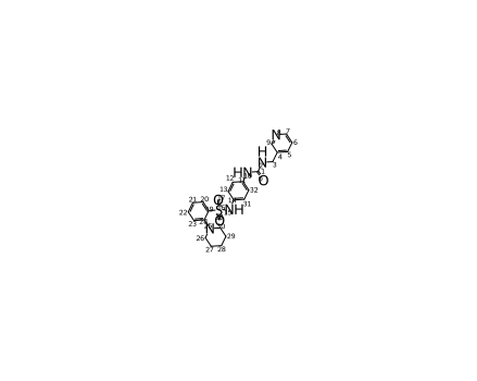 O=C(NCc1cccnc1)Nc1ccc(NS(=O)(=O)c2ccccc2N2CCCCC2)cc1